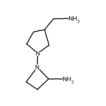 NCC1CCN(N2CCC2N)C1